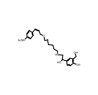 CC(=O)Nc1ccc(/C=C\COCCCCCCNCC(O)c2ccc(O)c(CO)c2)cc1